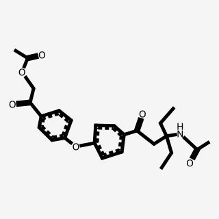 CCC(CC)(CC(=O)c1ccc(Oc2ccc(C(=O)COC(C)=O)cc2)cc1)NC(C)=O